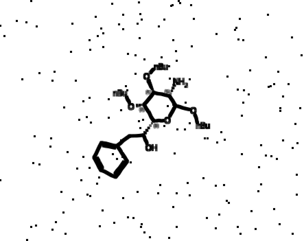 CCCCOC1O[C@H](C(O)Cc2ccccc2)[C@H](OCCCC)[C@@H](OCCCC)[C@@H]1N